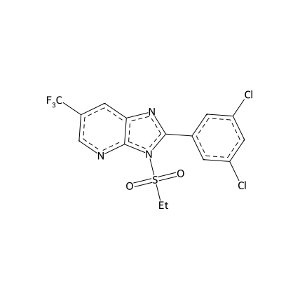 CCS(=O)(=O)n1c(-c2cc(Cl)cc(Cl)c2)nc2cc(C(F)(F)F)cnc21